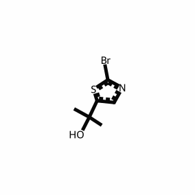 CC(C)(O)c1cnc(Br)s1